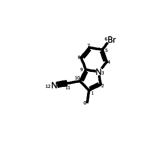 Cc1cn2cc(Br)ccc2c1C#N